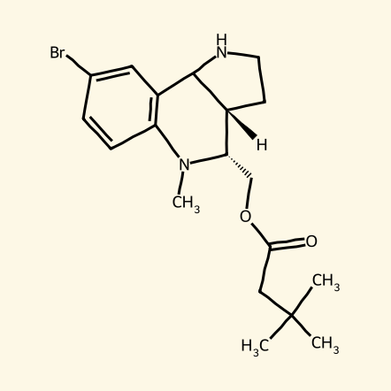 CN1c2ccc(Br)cc2C2NCC[C@@H]2[C@@H]1COC(=O)CC(C)(C)C